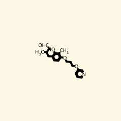 Cc1c(OCCCOc2cccnc2)ccc(CC(C)CC=O)c1O